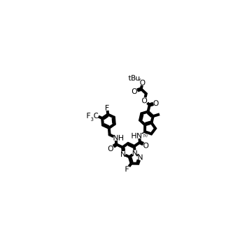 Cc1c(C(=O)OCC(=O)OC(C)(C)C)ccc2c1CC[C@@H]2NC(=O)c1cc(C(=O)NCc2ccc(F)c(C(F)(F)F)c2)nc2c(F)cnn12